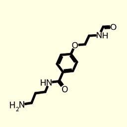 NCCCNC(=O)c1ccc(OCCNC=O)cc1